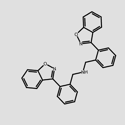 c1ccc(-c2noc3ccccc23)c(CNCc2ccccc2-c2noc3ccccc23)c1